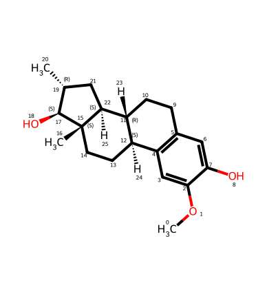 COc1cc2c(cc1O)CC[C@@H]1[C@@H]2CC[C@]2(C)[C@@H](O)[C@H](C)C[C@@H]12